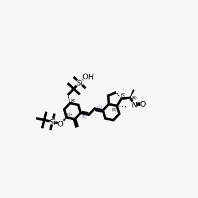 C=C1/C(=C/C=C2\CCC[C@@]3(C)C2CC[C@@H]3[C@@H](C)N=O)C[C@@H](CC(C)(C)[Si](C)(C)O)C[C@@H]1O[Si](C)(C)C(C)(C)C